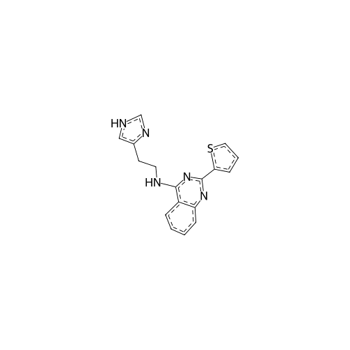 c1csc(-c2nc(NCCc3c[nH]cn3)c3ccccc3n2)c1